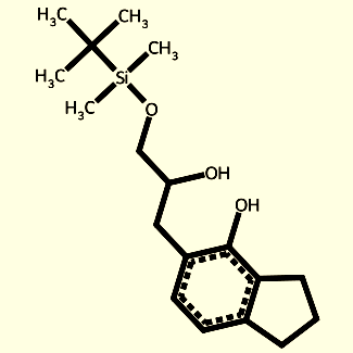 CC(C)(C)[Si](C)(C)OCC(O)Cc1ccc2c(c1O)CCC2